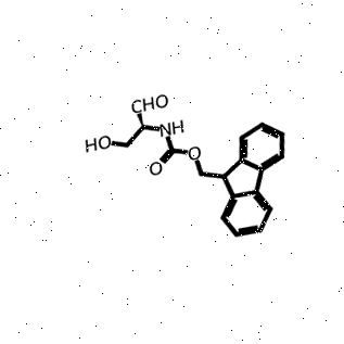 O=C[C@H](CO)NC(=O)OCC1c2ccccc2-c2ccccc21